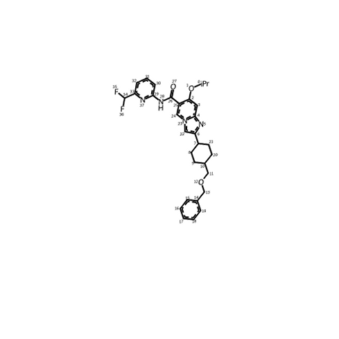 CC(C)Oc1cc2nc(C3CCC(COCc4ccccc4)CC3)cn2cc1C(=O)Nc1cccc(C(F)F)n1